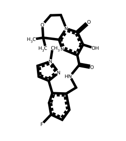 Cn1ccc(-c2cc(F)ccc2CNC(=O)c2nc3n(c(=O)c2O)CCOC3(C)C)n1